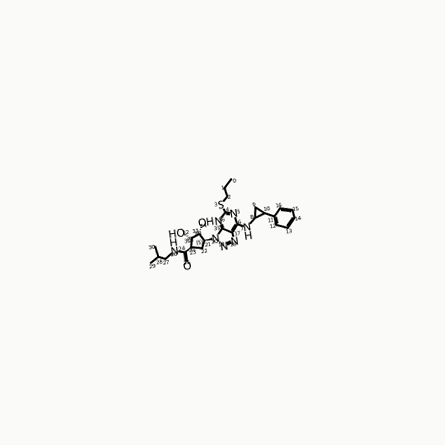 CCCSc1nc(NC2CC2c2ccccc2)c2nnn([C@H]3C[C@@H](C(=O)NCC(C)C)[C@H](O)[C@@H]3O)c2n1